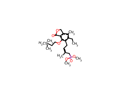 CCc1c(C)c2c(c(OCC[Si](C)(C)C)c1CC=C(C)CP(=O)(OC)OC)C(=O)OC2